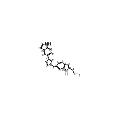 NCc1cc2ccc(Cn3cnc(-c4cnc5[nH]ccc5c4)c3)cc2[nH]1